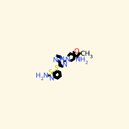 C[C@@H]1OCC2(CCN(c3ncc(Sc4cccc5nc(N)sc45)c4nccn34)CC2)[C@@H]1N